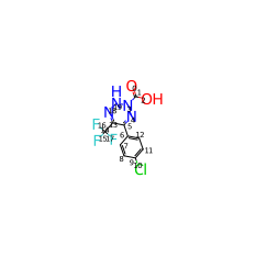 O=C(O)N1N=C(c2ccc(Cl)cc2)C(C(F)(F)F)=NN1